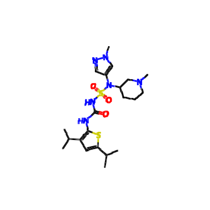 CC(C)c1cc(C(C)C)c(NC(=O)NS(=O)(=O)N(c2cnn(C)c2)C2CCCN(C)C2)s1